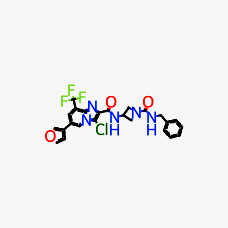 O=C(NC1CN(C(=O)NCc2ccccc2)C1)c1nc2c(C(F)(F)F)cc(-c3ccoc3)cn2c1Cl